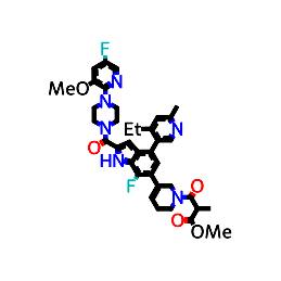 CCc1cc(C)ncc1-c1cc(C2=CCCN(C(=O)C(C)C(=O)OC)C2)c(F)c2[nH]c(C(=O)N3CCN(c4ncc(F)cc4OC)CC3)cc12